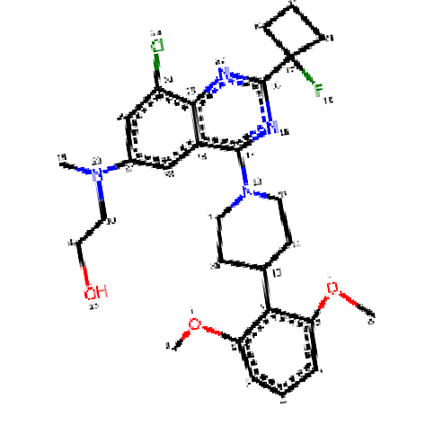 COc1cccc(OC)c1C1CCN(c2nc(C3(F)CCC3)nc3c(Cl)cc(N(C)CCO)cc23)CC1